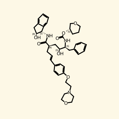 O=C(N[C@@H](Cc1ccccc1)[C@@H](O)C[C@@H](CC=Cc1ccc(OCCN2CCOCC2)cc1)C(=O)N[C@H]1c2ccccc2C[C@H]1O)O[C@H]1CCCOC1